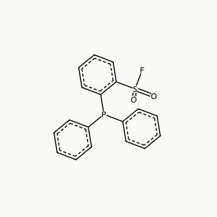 O=S(=O)(F)c1ccccc1P(c1ccccc1)c1ccccc1